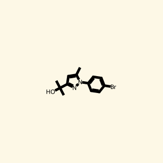 Cc1cc(C(C)(C)O)nn1-c1ccc(Br)cc1